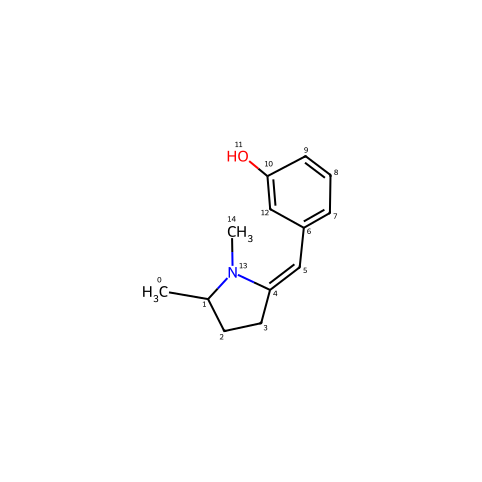 CC1CCC(=Cc2cccc(O)c2)N1C